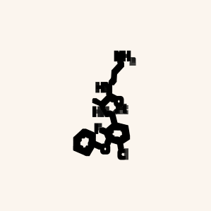 CC[C@@H](N[C@@H](C)C(=O)NCCCN)c1ccc(Cl)c(Oc2ccccc2)c1F